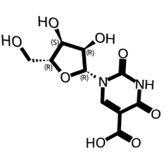 O=C(O)c1cn([C@@H]2O[C@H](CO)[C@@H](O)[C@H]2O)c(=O)[nH]c1=O